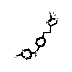 NC1=NC(CCc2ccc(Nc3cnc(Cl)nc3)cc2)CO1